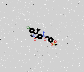 CCN(C(=O)c1ccc(NC(=O)Cc2ccc(S(=O)(=O)CC)cc2)cc1)C(CC1CC1)c1ccc(Cl)cc1